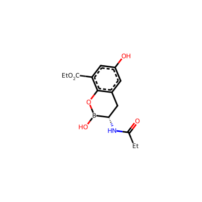 CCOC(=O)c1cc(O)cc2c1OB(O)[C@@H](NC(=O)CC)C2